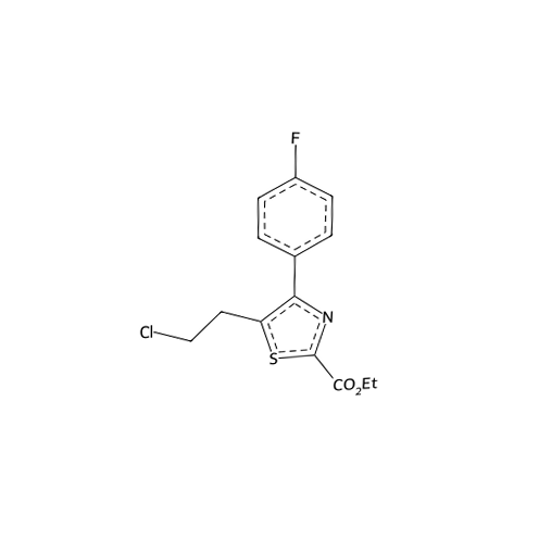 CCOC(=O)c1nc(-c2ccc(F)cc2)c(CCCl)s1